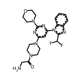 NCC(=O)N1CCN(c2cc(-n3c(C(F)F)nc4ccccc43)nc(N3CCOCC3)n2)CC1